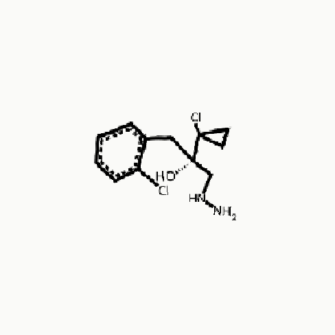 NNC[C@@](O)(Cc1ccccc1Cl)C1(Cl)CC1